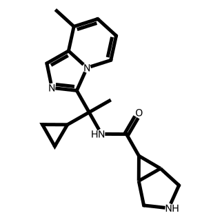 Cc1cccn2c(C(C)(NC(=O)C3C4CNCC43)C3CC3)ncc12